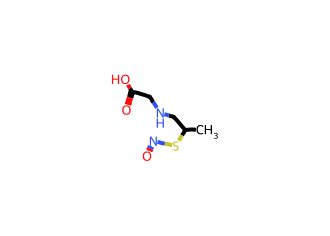 CC(CNCC(=O)O)SN=O